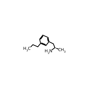 CCCc1cccc(C[C@@H](C)N)c1